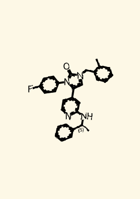 Cc1ccccc1Cn1cc(-c2ccnc(N[C@@H](C)c3ccccc3)c2)n(-c2ccc(F)cc2)c1=O